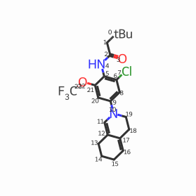 CC(C)(C)CC(=O)Nc1c(Cl)cc(N2C=C3CCCC=C3CC2)cc1OC(F)(F)F